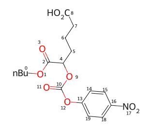 CCCCOC(=O)C(CCCC(=O)O)OC(=O)Oc1ccc([N+](=O)[O-])cc1